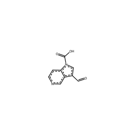 O=Cc1cn(C(=O)O)c2ccncc12